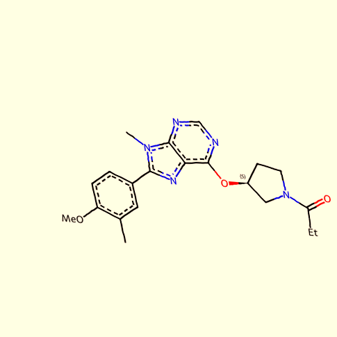 CCC(=O)N1CC[C@H](Oc2ncnc3c2nc(-c2ccc(OC)c(C)c2)n3C)C1